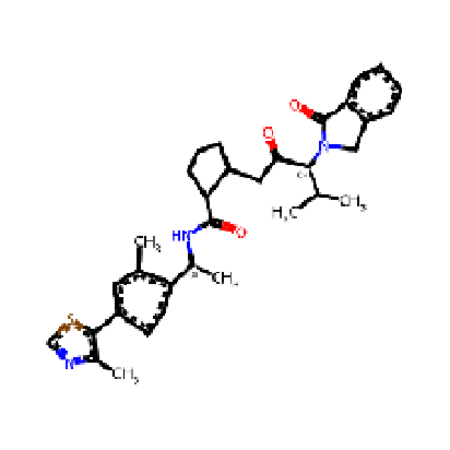 Cc1cc(-c2scnc2C)ccc1[C@H](C)NC(=O)C1CCCC1CC(=O)[C@H](C(C)C)N1Cc2ccccc2C1=O